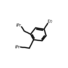 C[CH]c1ccc(CC(C)C)c(CC(C)C)c1